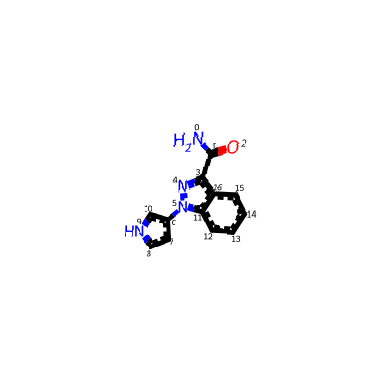 NC(=O)c1nn(-c2cc[nH]c2)c2ccccc12